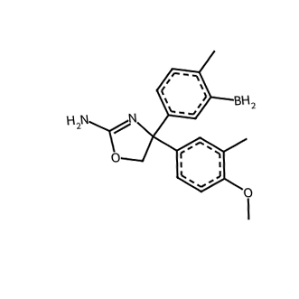 Bc1cc(C2(c3ccc(OC)c(C)c3)COC(N)=N2)ccc1C